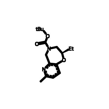 CC[C@@H]1CN(C(=O)OC(C)(C)C)Cc2nc(C)ccc2O1